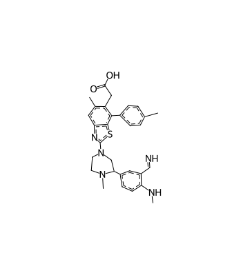 CNc1ccc(C2CN(c3nc4cc(C)c(CC(=O)O)c(-c5ccc(C)cc5)c4s3)CCN2C)cc1C=N